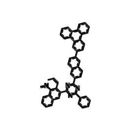 C=Nc1c(/C=C\C)c(-c2nc(-c3ccccc3)nc(-c3ccc4cc(-c5ccc6c7ccccc7c7ccccc7c6c5)ccc4c3)n2)cc2ccccc12